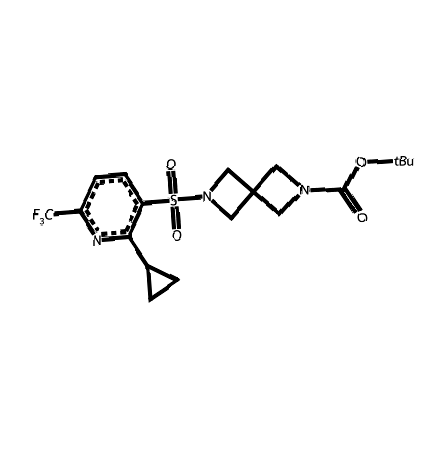 CC(C)(C)OC(=O)N1CC2(C1)CN(S(=O)(=O)c1ccc(C(F)(F)F)nc1C1CC1)C2